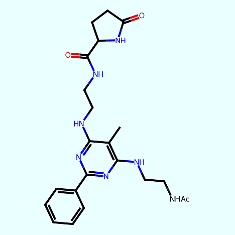 CC(=O)NCCNc1nc(-c2ccccc2)nc(NCCNC(=O)C2CCC(=O)N2)c1C